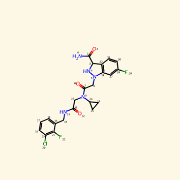 NC(=O)C1NN(CC(=O)N(CC(=O)NCc2cccc(Cl)c2F)C2CC2)c2cc(F)ccc21